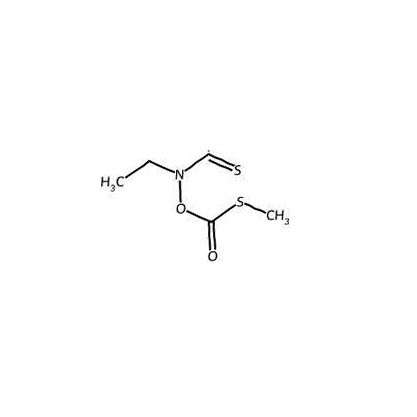 CCN([C]=S)OC(=O)SC